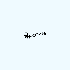 CNC(=O)CCCc1ccc(CCCCBr)cc1